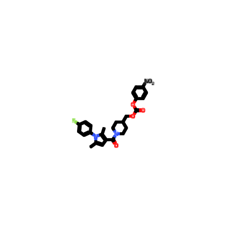 Cc1cc(C(=O)N2CCC(COC(=O)Oc3ccc([N+](=O)[O-])cc3)CC2)c(C)n1-c1ccc(F)cc1